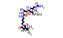 CCCCCC(C)C(=O)[C@H](CCCNC(N)=O)NC(=O)[C@@H](NC(=S)NCCCCN1C(=O)CC(C(C)(C)CCC)C1=O)C(C)C